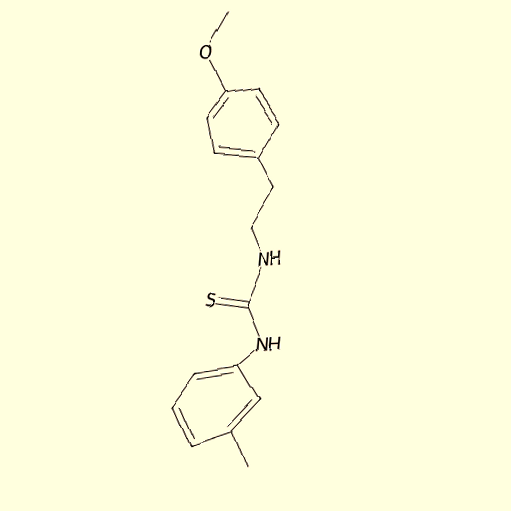 COc1ccc(CCNC(=S)Nc2cccc(C)c2)cc1